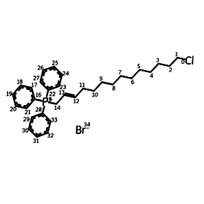 ClCCCCCCCCCCCC=CC[P+](c1ccccc1)(c1ccccc1)c1ccccc1.[Br-]